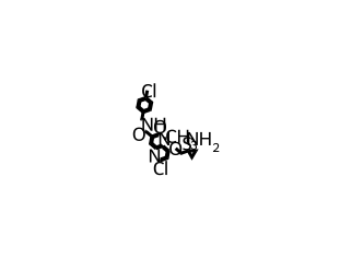 Cn1c(=O)c(C(=O)NCc2ccc(Cl)cc2)cc2nc(Cl)cc(OCC3(SN)CC3)c21